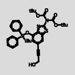 CC(C)(C)OC(=O)N(C(=O)OC(C)(C)C)c1nc2c(O[Si](c3ccccc3)(c3ccccc3)C(C)(C)C)cc(C#CCO)cc2s1